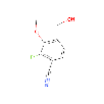 COc1c(CO)ccc(C#N)c1F